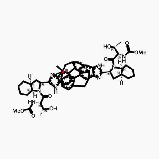 COC(=O)N[C@H](C(=O)N1[C@H](c2nc3cc(-c4cc5ccc4CCc4ccc(c(-c6ccc7[nH]c([C@@H]8C[C@@H]9CCCC[C@@H]9N8C(=O)[C@@H](NC(=O)OC)[C@@H](C)O)nc7c6)c4)C[C@H]5C)ccc3[nH]2)C[C@@H]2CCCC[C@@H]21)[C@@H](C)O